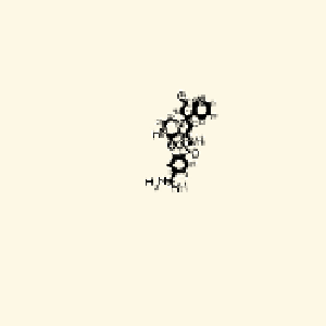 N=C(N)c1ccc(S(=O)(=O)NCCC(CC(=O)O)(c2cccnc2)N2CCNC(=O)C2=O)cc1